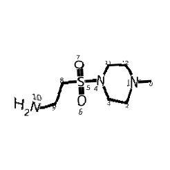 CN1CCN(S(=O)(=O)CCN)CC1